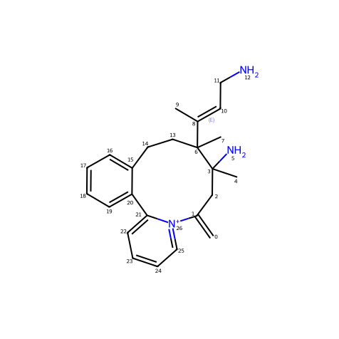 C=C1CC(C)(N)C(C)(/C(C)=C/CN)CCc2ccccc2-c2cccc[n+]21